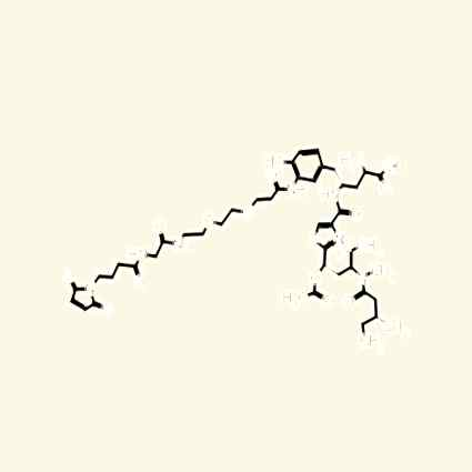 CC[C@H](C)CC(=O)N(C)C(C[C@@H](OC(C)=O)c1nc(C(=O)N[C@@H](Cc2ccc(O)c(NC(=O)CCOCCOCCNC(=O)CNC(=O)CCCN3C(=O)C=CC3=O)c2)CC(C)C(=O)O)cs1)C(C)C